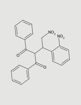 O=C(c1ccccc1)C(C(=O)c1ccccc1)C(C[N+](=O)[O-])c1ccccc1[N+](=O)[O-]